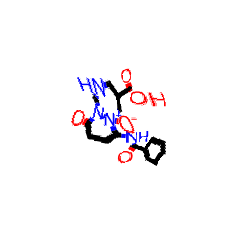 O=C(NC1CCC(=O)N2CNCC(C(=O)O)C[N+]12[O-])c1ccccc1